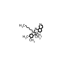 CCCCCCN1c2cc(C)c(C)cc2C(C)(C)C12C=Nc1c(ccc3ccncc13)O2